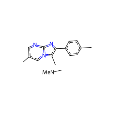 CNC.Cc1ccc(-c2nc3ncc(C)cn3c2C)cc1